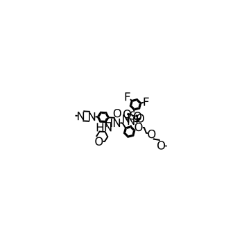 COCCOCCOC(=O)[N+]1(S(=O)(=O)c2cc(F)cc(F)c2)N=C(NC(=O)c2ccc(N3CCN(C)CC3)cc2NC2CCOCC2)c2ccccc21